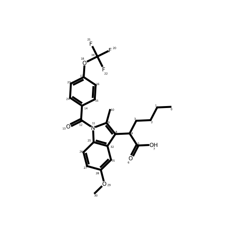 CCCCC(C(=O)O)c1c(C)n(C(=O)c2ccc(OC(F)(F)F)cc2)c2ccc(OC)cc12